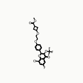 COC(=O)C1CC(OCCOc2ccc(-c3oc4c(Cl)cc(F)cc4c(=O)c3OC(F)(F)F)cc2)C1